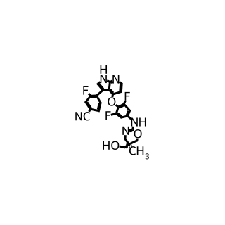 C[C@]1(CO)CN=C(Nc2cc(F)c(Oc3ccnc4[nH]cc(-c5ccc(C#N)cc5F)c34)c(F)c2)OC1